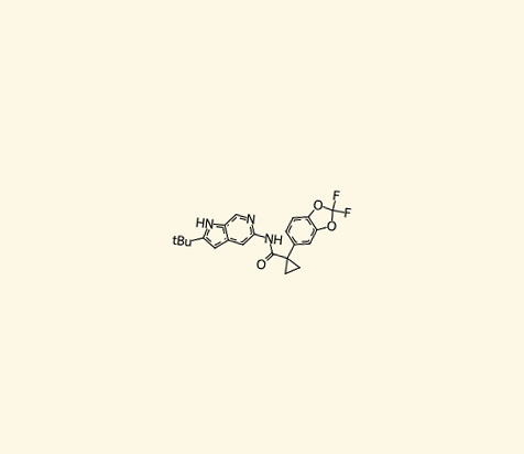 CC(C)(C)c1cc2cc(NC(=O)C3(c4ccc5c(c4)OC(F)(F)O5)CC3)ncc2[nH]1